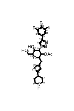 CC(=O)OC1C(Cc2cc(C3CCNCC3)on2)OC(CO)C(O)C1n1cc(-c2cc(F)c(F)c(F)c2)nn1